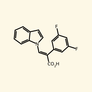 O=C(O)C(=Cn1ccc2ccccc21)c1cc(F)cc(F)c1